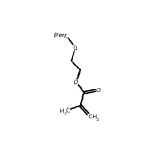 C=C(C)C(=O)OCCOC(C)CCC